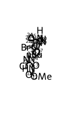 CCCCc1nc(Cl)c(C(=O)NCC(=O)OC)n1Cc1ccc2oc(-c3ccccc3-c3nnn[nH]3)c(Br)c2c1